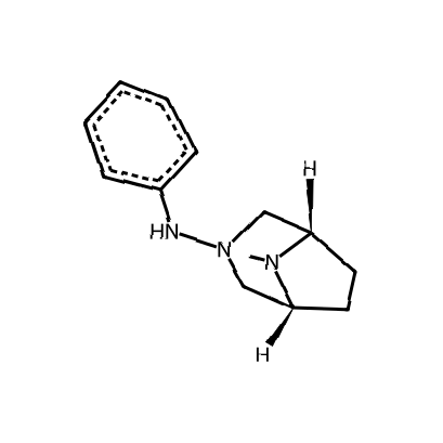 CN1[C@@H]2CC[C@H]1CN(Nc1ccccc1)C2